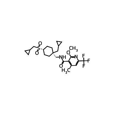 COc1nc(C(F)(F)F)cc(C)c1C(=O)NC[C@]1(CC2CC2)CC[C@H](S(=O)(=O)CC2CC2)CC1